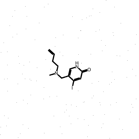 C=CCCN(C)Cc1c[nH]c(=O)cc1I